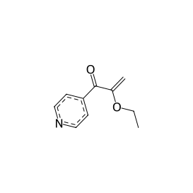 C=C(OCC)C(=O)c1ccncc1